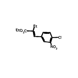 CCOC(=O)C(=Cc1ccc(Cl)c([N+](=O)[O-])c1)CC